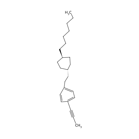 CC#Cc1ccc(CC[C@H]2CC[C@H](CCCCCCC)CC2)cc1